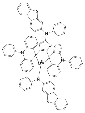 c1ccc(N(c2ccc3c(c2)sc2ccccc23)c2cc3c(o2)C2(c4ccccc4N(c4ccccc4)c4ccccc42)c2cc(N(c4ccccc4)c4ccc5c(c4)sc4ccccc45)oc2C32c3ccccc3N(c3ccccc3)c3ccccc32)cc1